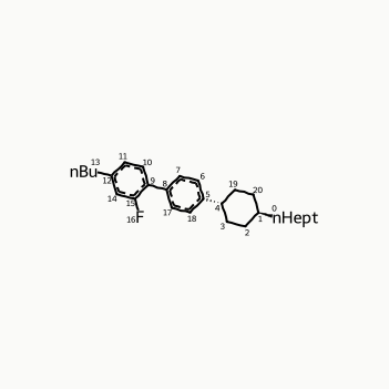 CCCCCCC[C@H]1CC[C@H](c2ccc(-c3ccc(CCCC)cc3F)cc2)CC1